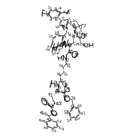 CC(C)(C)[C@H](c1cc(-c2cc(F)ccc2F)cn1Cc1ccccc1)N(CC[C@H](N)C(=O)NCCCCC(=O)N[C@@H](CCC(=O)OCc1ccccc1)C(=O)OCc1ccccc1)C(=O)CO